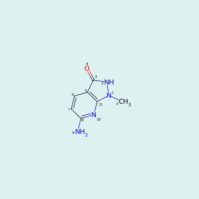 Cn1[nH]c(=O)c2ccc(N)nc21